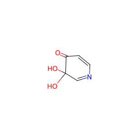 O=C1C=CN=CC1(O)O